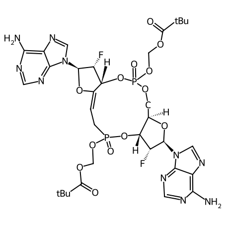 CC(C)(C)C(=O)OCOP1(=O)C/C=C2/O[C@@H](n3cnc4c(N)ncnc43)[C@H](F)[C@@H]2OP(=O)(OCOC(=O)C(C)(C)C)OC[C@H]2O[C@@H](n3cnc4c(N)ncnc43)[C@H](F)[C@@H]2O1